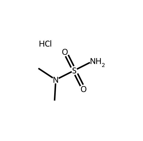 CN(C)S(N)(=O)=O.Cl